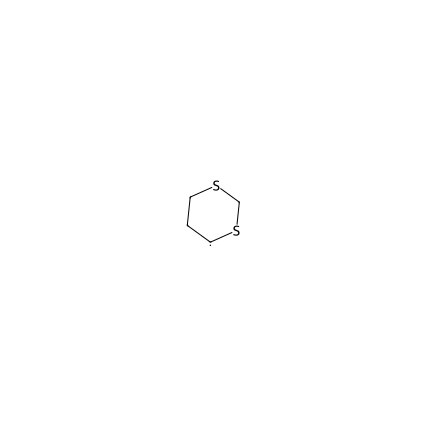 [CH]1CCSCS1